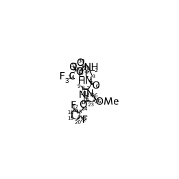 CCC(C)(CNC(=O)c1c(C)nc2c(OCc3c(F)cccc3F)cc(OC)cn12)NC(=O)OC(=O)C(F)(F)F